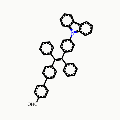 O=Cc1ccc(-c2ccc(C(=C(c3ccccc3)c3ccc(-n4c5ccccc5c5ccccc54)cc3)c3ccccc3)cc2)cc1